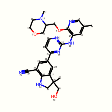 Cc1cnc(OCC2COCCN2C)c(Nc2nccc(-c3cc(C#N)c4c(c3)C(C)(CO)CN4)n2)c1